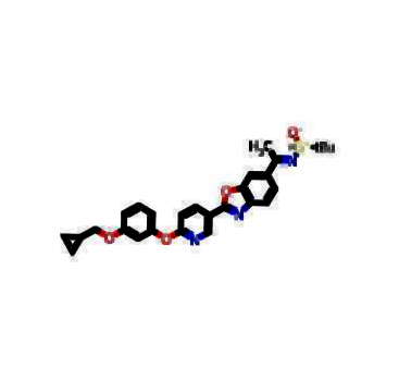 C/C(=N\[S@@+]([O-])C(C)(C)C)c1ccc2nc(-c3ccc(Oc4cccc(OCC5CC5)c4)nc3)oc2c1